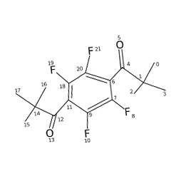 CC(C)(C)C(=O)c1c(F)c(F)c(C(=O)C(C)(C)C)c(F)c1F